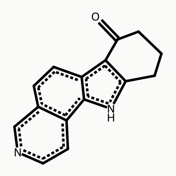 O=C1CCCc2[nH]c3c(ccc4cnccc43)c21